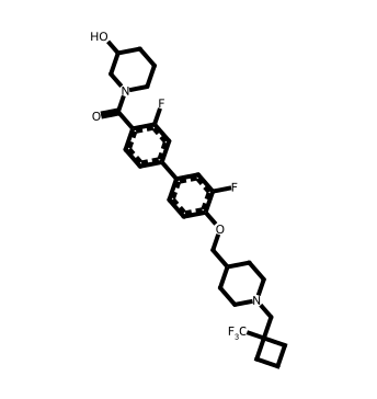 O=C(c1ccc(-c2ccc(OCC3CCN(CC4(C(F)(F)F)CCC4)CC3)c(F)c2)cc1F)N1CCCC(O)C1